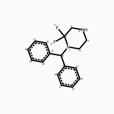 FC1(F)CNCCN1C(c1ccccc1)c1ccccc1